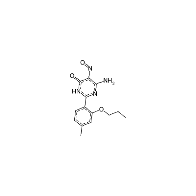 CCCOc1cc(C)ccc1-c1nc(N)c(N=O)c(=O)[nH]1